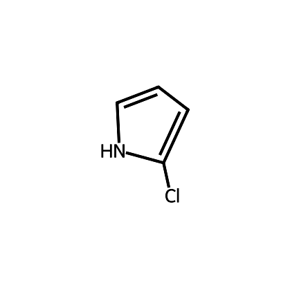 Clc1ccc[nH]1